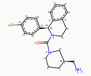 NC[C@H]1CCCN(C(=O)N2CCc3ccccc3[C@@H]2c2ccc(F)cc2)C1